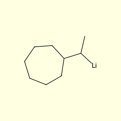 [Li][CH](C)C1CCCCCC1